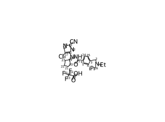 CCN(Cc1ccc(C(=O)NN(c2nc(C#N)ncc2Cl)C2CCCC2)cc1)C(C)C.O=C(O)C(F)(F)F